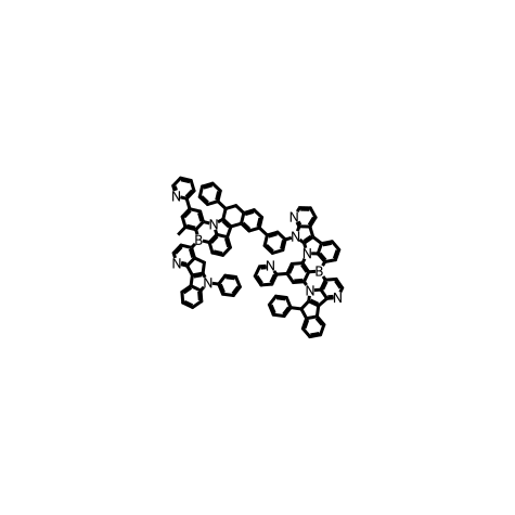 Cc1cc(-c2ccccn2)cc2c1B(c1ccnc3c1Cc1c-3c3ccccc3n1-c1ccccc1)c1cccc3c4c(n-2c13)C(c1ccccc1)Cc1ccc(-c2cccc(-n3c5ncccc5c5c6cccc7c6n(c53)-c3cc(-c5ccccn5)cc5c3B7c3ccnc6c7c(n-5c36)C(c3ccccc3)c3ccccc3-7)c2)cc1-4